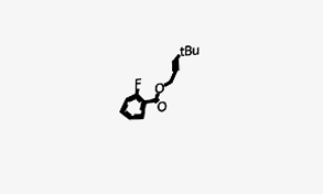 CC(C)(C)C#CCOC(=O)c1ccccc1F